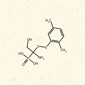 Cc1ccc(C)c(SSC(N)(CO)P(=O)(O)O)c1